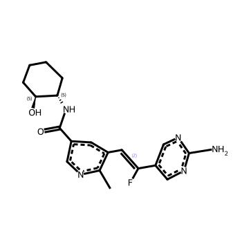 Cc1ncc(C(=O)N[C@H]2CCCC[C@@H]2O)cc1/C=C(\F)c1cnc(N)nc1